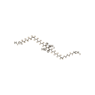 CCCCCCCC/C=C\CCCCCCCC(=O)C(N)C(O)C(=O)CCCCCCC/C=C\CCCCCCCC